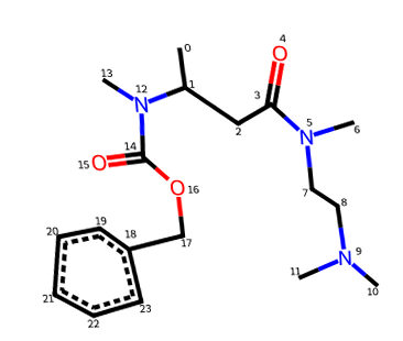 CC(CC(=O)N(C)CCN(C)C)N(C)C(=O)OCc1ccccc1